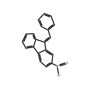 O=[N+]([O-])c1ccc2c(c1)/C(=C/c1ccccc1)c1ccccc1-2